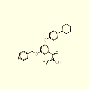 CN(C)C(=O)c1cc(OCc2ccncc2)cc(Oc2c[c]c(C3CCCCC3)cc2)c1